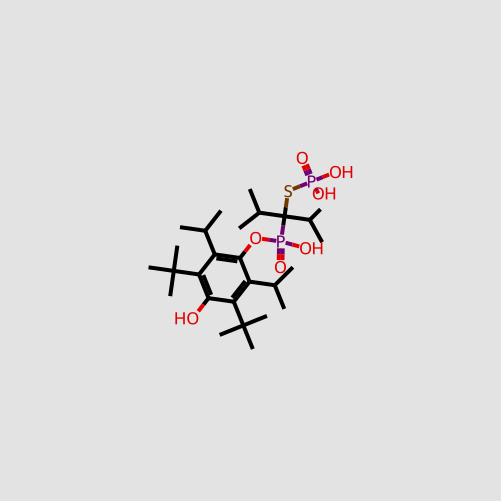 CC(C)c1c(OP(=O)(O)C(SP(=O)(O)O)(C(C)C)C(C)C)c(C(C)C)c(C(C)(C)C)c(O)c1C(C)(C)C